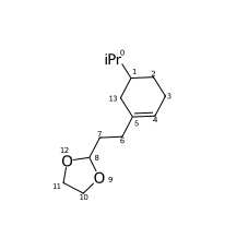 CC(C)C1CCC=C(CCC2OCCO2)C1